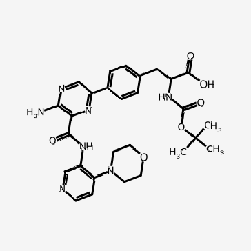 CC(C)(C)OC(=O)NC(Cc1ccc(-c2cnc(N)c(C(=O)Nc3cnccc3N3CCOCC3)n2)cc1)C(=O)O